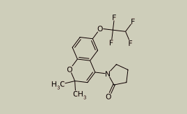 CC1(C)C=C(N2CCCC2=O)c2cc(OC(F)(F)C(F)F)ccc2O1